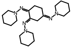 C1CCN(/N=C2/CC/C(=N\N3CCCCC3)C/C2=N\N2CCCCC2)CC1